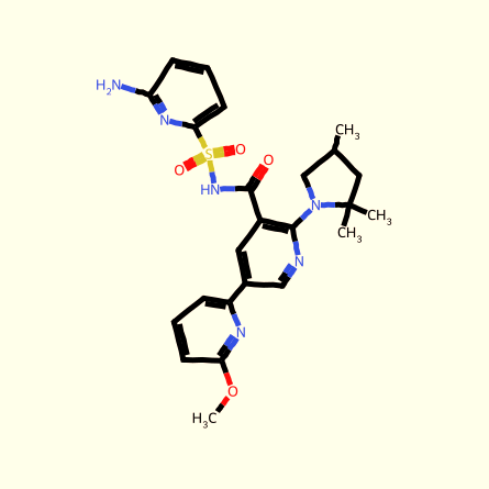 COc1cccc(-c2cnc(N3CC(C)CC3(C)C)c(C(=O)NS(=O)(=O)c3cccc(N)n3)c2)n1